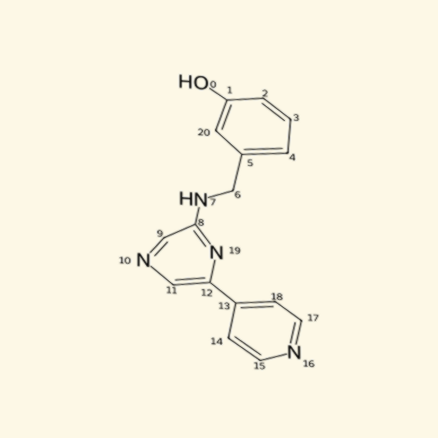 Oc1cccc(CNc2cncc(-c3ccncc3)n2)c1